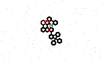 c1ccc(-c2ccccc2N(c2ccc(-c3cccc4c3-c3ccccc3C4(c3ccccc3)c3ccccc3)cc2)c2ccccc2-c2cccc3cccc(C4CCCCC4)c23)cc1